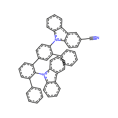 N#Cc1ccc2c(c1)c1ccccc1n2-c1ccc(-c2cccc(-c3ccccc3)c2-n2c3ccccc3c3ccccc32)cc1-c1ccccc1